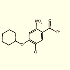 CC(C)C(=O)c1cc(Cl)c(OC2CCCCC2)cc1[N+](=O)[O-]